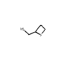 SCC1CCS1